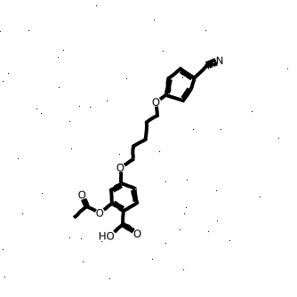 CC(=O)Oc1cc(OCCCCCOc2ccc(C#N)cc2)ccc1C(=O)O